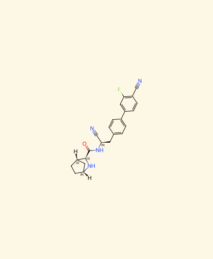 N#Cc1ccc(-c2ccc(C[C@H](C#N)NC(=O)[C@H]3N[C@@H]4CC[C@H]3C4)cc2)cc1F